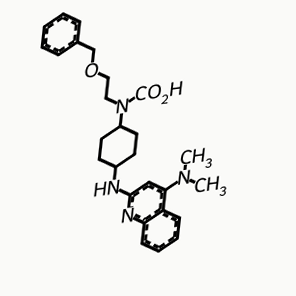 CN(C)c1cc(NC2CCC(N(CCOCc3ccccc3)C(=O)O)CC2)nc2ccccc12